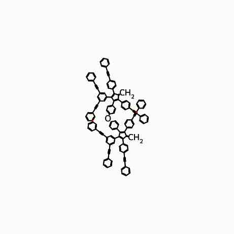 C=C1C(c2ccc(C#Cc3ccccc3)cc2)=C(c2ccc(Oc3ccc(C4=C(c5ccc(C#Cc6ccccc6)cc5)C(=C)C(c5ccc(C#Cc6ccccc6)cc5)=C4c4cc(C#Cc5ccccc5)cc(C#Cc5ccccc5)c4)cc3)cc2)C(c2cc(C#Cc3ccccc3)cc(C#Cc3ccccc3)c2)=C1c1ccc(C#Cc2ccccc2)cc1